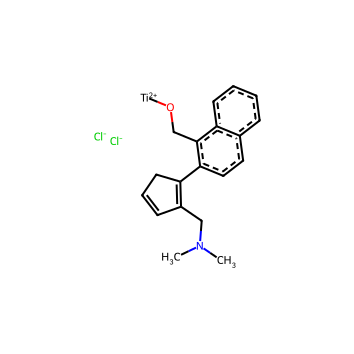 CN(C)CC1=C(c2ccc3ccccc3c2C[O][Ti+2])CC=C1.[Cl-].[Cl-]